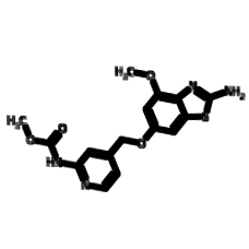 COC(=O)Nc1cc(COc2cc(OC)c3nc(N)sc3c2)ccn1